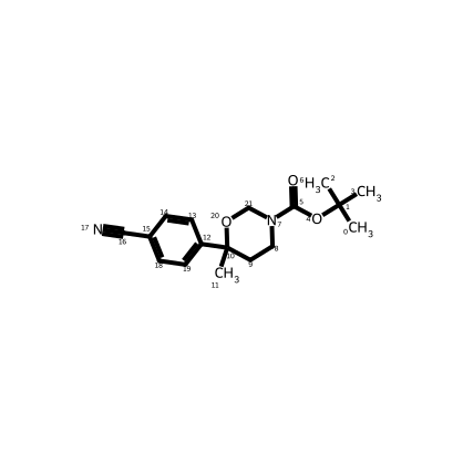 CC(C)(C)OC(=O)N1CCC(C)(c2ccc(C#N)cc2)OC1